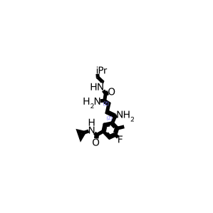 Cc1c(F)cc(C(=O)NC2CC2)cc1/C(N)=C/C=C(\N)C(=O)NCCC(C)C